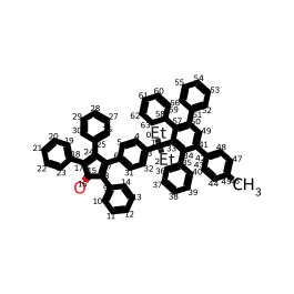 CCC(CC)(c1ccc(C2=C(c3ccccc3)C(=O)C(c3ccccc3)=C2c2ccccc2)cc1)c1c(-c2ccccc2)c(-c2ccc(C)cc2)cc(-c2ccccc2)c1C1C=CC=CC1